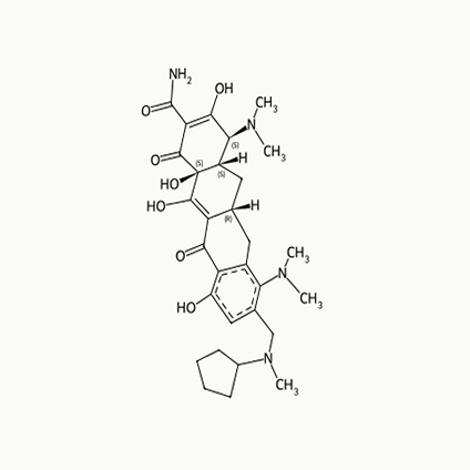 CN(C)c1c(CN(C)C2CCCC2)cc(O)c2c1C[C@H]1C[C@H]3[C@H](N(C)C)C(O)=C(C(N)=O)C(=O)[C@@]3(O)C(O)=C1C2=O